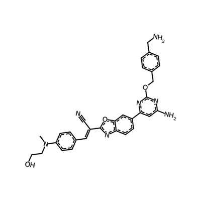 CN(CCO)c1ccc(/C=C(\C#N)c2nc3ccc(-c4cc(N)nc(OCc5ccc(CN)cc5)n4)cc3o2)cc1